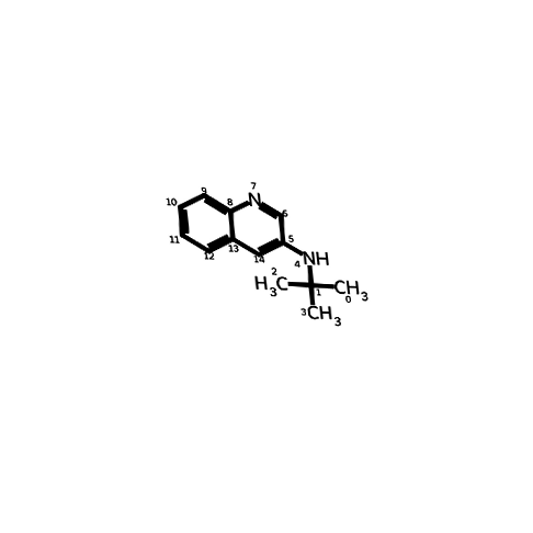 CC(C)(C)Nc1cnc2ccccc2c1